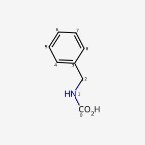 O=C(O)N[CH]c1ccccc1